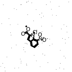 COC(=O)c1cc2cccc([N+](=O)[O-])c2n1Cl